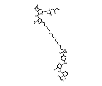 C=CC(=O)N[C@@H]1CN(c2nc(Nc3cn(CCOCCOCCOCCOCCNS(=O)(=O)c4ccc(Nc5ncc(Br)c(Nc6cccc(F)c6C(N)=O)n5)cc4)nc3OC)c3ncn(C)c3n2)C[C@H]1F